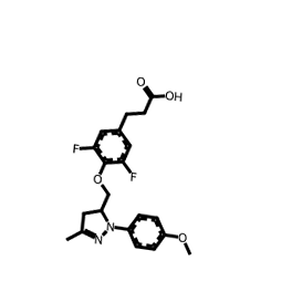 COc1ccc(N2N=C(C)CC2COc2c(F)cc(CCC(=O)O)cc2F)cc1